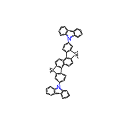 C[Si]1(C)c2cc(-n3c4ccccc4c4ccccc43)ccc2-c2c1ccc1c3c(ccc21)[Si](C)(C)c1cc(-n2c4ccccc4c4ccccc42)ccc1-3